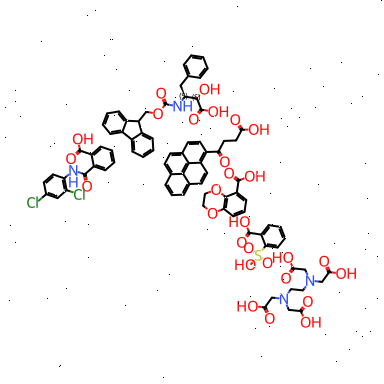 O=C(N[C@@H](Cc1ccccc1)[C@H](O)C(=O)O)OCC1c2ccccc2-c2ccccc21.O=C(O)CCC(=O)c1ccc2ccc3cccc4ccc1c2c34.O=C(O)CN(CCN(CC(=O)O)CC(=O)O)CC(=O)O.O=C(O)c1cccc2c1OCCO2.O=C(O)c1ccccc1C(=O)Nc1ccc(Cl)cc1Cl.O=C(O)c1ccccc1S(=O)(=O)O